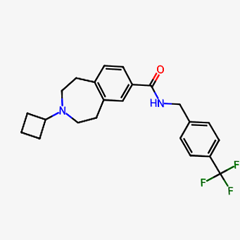 O=C(NCc1ccc(C(F)(F)F)cc1)c1ccc2c(c1)CCN(C1CCC1)CC2